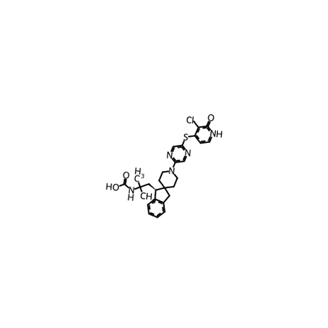 CC(C)(C[C@@H]1c2ccccc2CC12CCN(c1cnc(Sc3cc[nH]c(=O)c3Cl)cn1)CC2)NC(=O)O